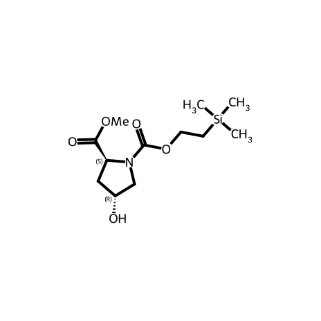 COC(=O)[C@@H]1C[C@@H](O)CN1C(=O)OCC[Si](C)(C)C